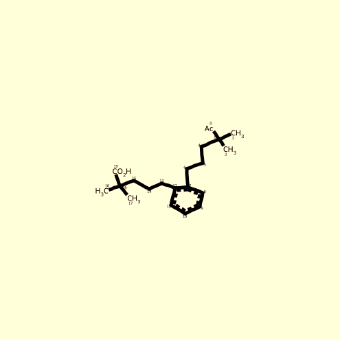 CC(=O)C(C)(C)CCCc1ccccc1CCCC(C)(C)C(=O)O